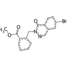 COC(=O)c1ccccc1Cn1ncc2cc(Br)ccc2c1=O